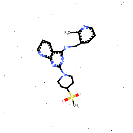 CS(=O)(=O)C1CCN(c2nc(NCc3cccnc3C(F)(F)F)c3cccnc3n2)CC1